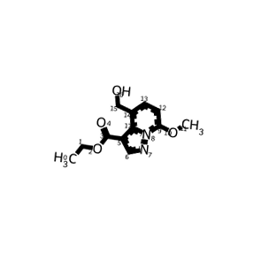 CCOC(=O)c1cnn2c(OC)ccc(CO)c12